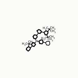 CC(C)(C)c1cc(-c2cccc(-c3cccc(N(c4ccc(C5CCCCC5)cc4)c4ccc5c(c4)C(C)(C)c4ccccc4-5)c3)c2)cc(C(C)(C)C)c1